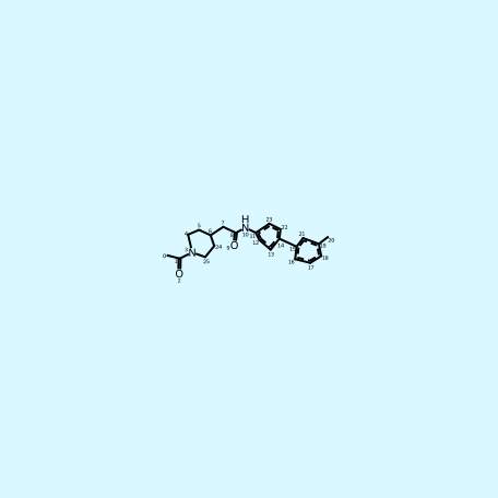 CC(=O)N1CCC(CC(=O)Nc2ccc(-c3cccc(C)c3)cc2)CC1